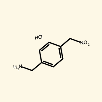 Cl.NCc1ccc(C[N+](=O)[O-])cc1